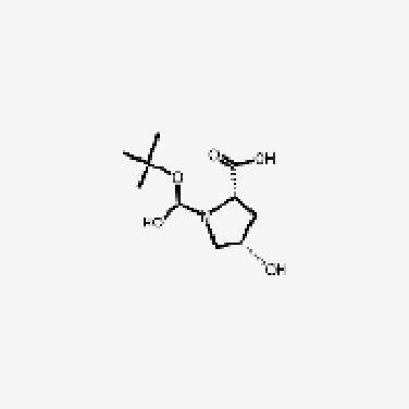 CC(C)(C)OC(O)N1C[C@@H](O)C[C@H]1C(=O)O